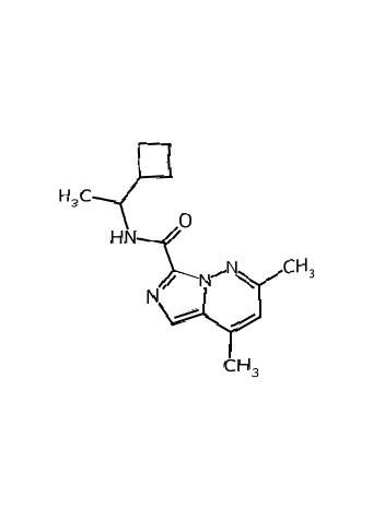 Cc1cc(C)c2cnc(C(=O)NC(C)C3CCC3)n2n1